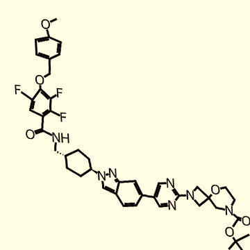 COc1ccc(COc2c(F)cc(C(=O)NC[C@H]3CC[C@H](n4cc5ccc(-c6cnc(N7CC8(CN(C(=O)OC(C)(C)C)CCO8)C7)nc6)cc5n4)CC3)c(F)c2F)cc1